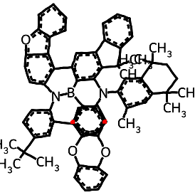 Cc1cc2c(cc1N1c3cc4c(cc3B3c5c(cc6c(c51)C(C)(C)c1ccccc1-6)-c1c(ccc5oc6ccccc6c15)N3c1ccc(C(C)(C)C)cc1-c1ccccc1)Oc1ccccc1O4)C(C)(C)CCC2(C)C